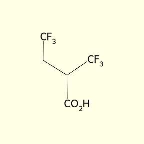 O=C(O)C(CC(F)(F)F)C(F)(F)F